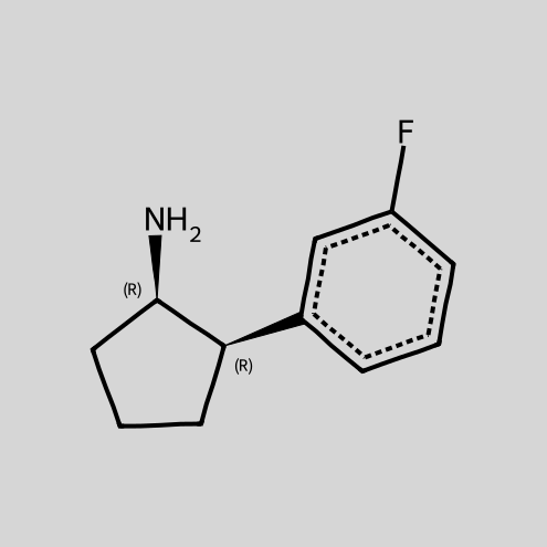 N[C@@H]1CCC[C@@H]1c1cccc(F)c1